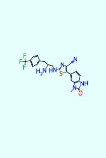 Cn1c(=O)[nH]c2ccc(-c3sc(NCC(N)Cc4ccc(C(F)(F)F)cc4)nc3C#N)cc21